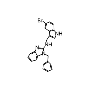 Brc1ccc2[nH]cc(CNc3nc4ccccc4n3Cc3ccccc3)c2c1